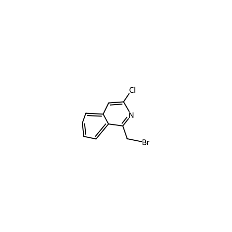 Clc1cc2ccccc2c(CBr)n1